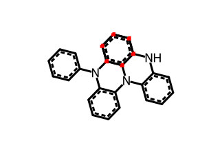 c1ccc(N(c2ccccc2)c2ccccc2N2c3ccccc3Nc3ccccc32)cc1